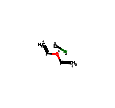 C=COC=C.CCBr